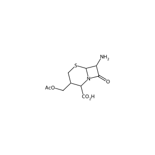 CC(=O)OCC1CSC2C(N)C(=O)N2C1C(=O)O